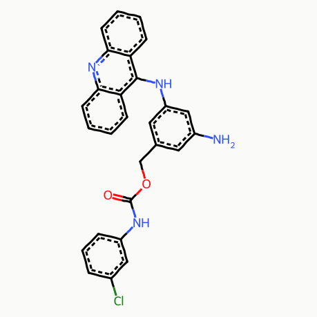 Nc1cc(COC(=O)Nc2cccc(Cl)c2)cc(Nc2c3ccccc3nc3ccccc23)c1